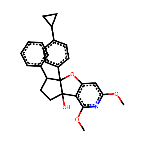 COc1cc2c(c(OC)n1)C1(O)CCC(c3ccccc3)C1(c1ccc(C3CC3)cc1)O2